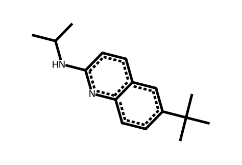 CC(C)Nc1ccc2cc(C(C)(C)C)ccc2n1